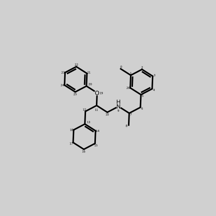 Cc1cccc(CC(C)NCC(CC2=CCCCC2)Oc2ccccc2)c1